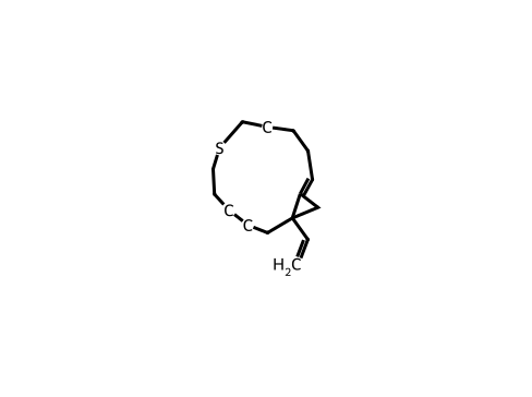 C=CC12CCCCCSCCCC/C=C/1C2